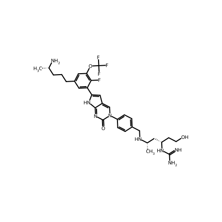 C[C@H](N)CCCc1cc(OC(F)(F)F)c(F)c(-c2cc3cn(-c4ccc(CN[C@@H](C)C[C@H](CCO)NC(=N)N)cc4)c(=O)nc3[nH]2)c1